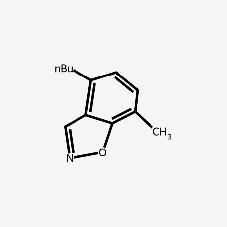 CCCCc1ccc(C)c2oncc12